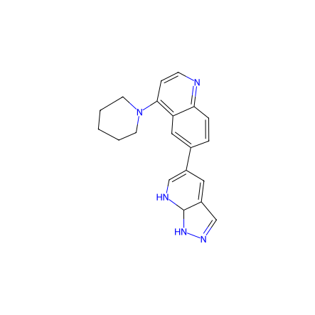 C1=NNC2NC=C(c3ccc4nccc(N5CCCCC5)c4c3)C=C12